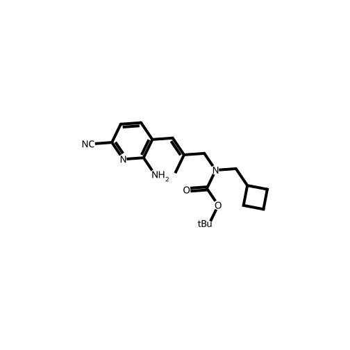 C/C(=C\c1ccc(C#N)nc1N)CN(CC1CCC1)C(=O)OC(C)(C)C